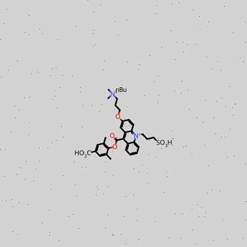 CCCC[N+](C)(C)CCCOc1ccc2c(c1)c(C(=O)Oc1c(C)cc(C(=O)O)cc1C)c1ccccc1[n+]2CCCS(=O)(=O)O